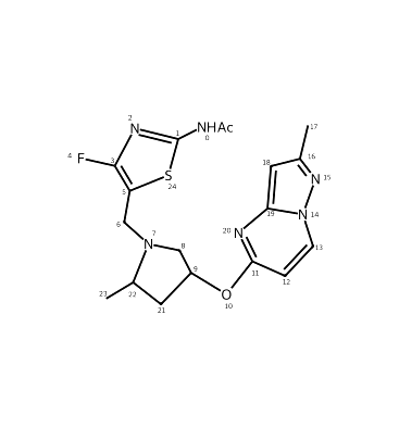 CC(=O)Nc1nc(F)c(CN2CC(Oc3ccn4nc(C)cc4n3)CC2C)s1